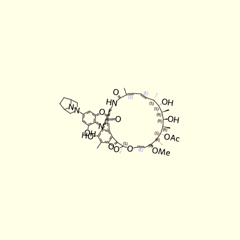 CO[C@H]1/C=C/O[C@@]2(C)Oc3c(C)c(O)c4c(=O)c(c5oc6cc(N7CC8CCC(C7)N8C)cc(O)c6nc-5c4c3C2=O)NC(=O)/C(C)=C\C=C\[C@H](C)[C@H](O)[C@@H](C)[C@@H](O)[C@@H](C)[C@H](OC(C)=O)[C@@H]1C